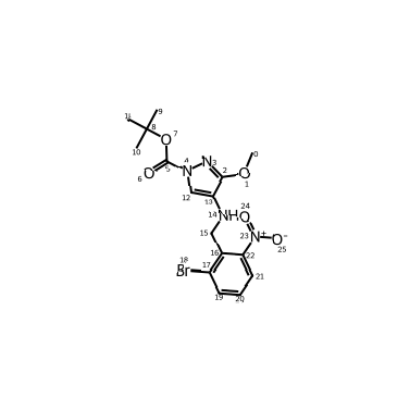 COc1nn(C(=O)OC(C)(C)C)cc1NCc1c(Br)cccc1[N+](=O)[O-]